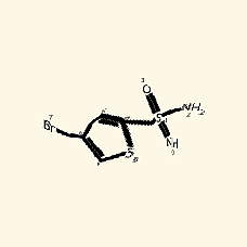 N=S(N)(=O)c1cc(Br)cs1